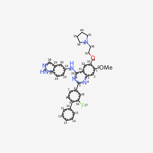 COc1cc2nc(-c3ccc(-c4ccccc4)c(F)c3)nc(Nc3ccc4[nH]ncc4c3)c2cc1OCCN1CCCC1